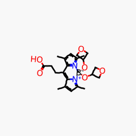 CC1=CC(C)=[N+]2C1=C(CCC(=O)O)c1c(C)cc(C)n1[B-]2(OC1COC1)OC1COC1